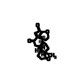 C[C@]12CC[C@H]3[C@@H](CC(=O)C4=CC(=O)C5C[C@@]43CCO5)[C@@H]1CCC2=O